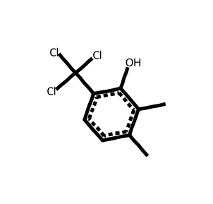 Cc1ccc(C(Cl)(Cl)Cl)c(O)c1C